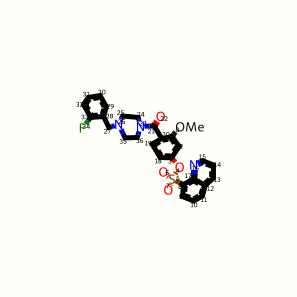 COc1cc(OS(=O)(=O)c2cccc3cccnc23)ccc1C(=O)N1CCN(Cc2ccccc2F)CC1